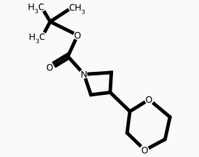 CC(C)(C)OC(=O)N1CC(C2COCCO2)C1